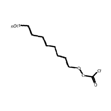 CCCCCCCCCCCCCCCCOOC(=O)Cl